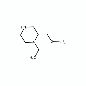 CCN1CCNC[C@@H]1COC